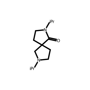 CC(C)N1CCC2(CCN(C(C)C)C2=O)C1